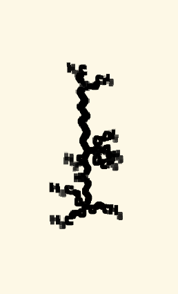 CCO[Si](CCCNC[SiH2]C(CCCCCCCN(CC)CC)[Si](OC)(OC)OC)(OCC)OCC